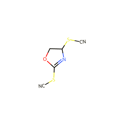 N#CSC1=NC(SC#N)CO1